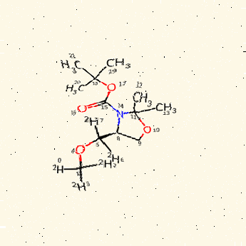 [2H]C([2H])([2H])OC([2H])([2H])[C@@H]1COC(C)(C)N1C(=O)OC(C)(C)C